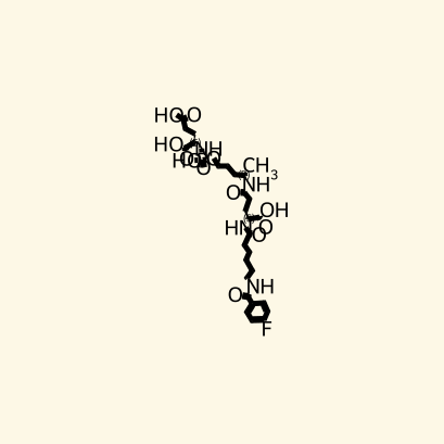 C[C@H](CCCOP(=O)(O)N[C@@H](CCC(=O)O)C(=O)O)NC(=O)CC[C@H](NC(=O)CCCCCNC(=O)c1ccc(F)cc1)C(=O)O